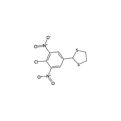 O=[N+]([O-])c1cc(C2SCCS2)cc([N+](=O)[O-])c1Cl